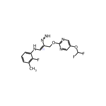 Cc1cccc(N/C=C(/COc2ncc(OC(F)F)cn2)N=N)c1F